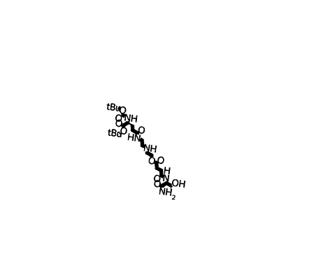 C[C@@H](O)[C@H](NC(=O)CCC(=O)OCCNCCNC(=O)CC[C@H](NC(=O)OC(C)(C)C)C(=O)OC(C)(C)C)C(N)=O